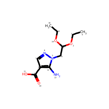 CCOC(Cn1ncc(C(=O)O)c1N)OCC